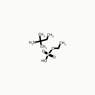 CCC(C)(C)N.CCOS(=O)(=O)O